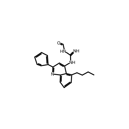 CCCCc1cccc2nc(-c3ccccc3)cc(NC(=N)NC=O)c12